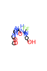 O=C(Nc1cn(C2CCC(CO)CC2)nc1C(F)F)c1cnn2ccc(N3CCC[C@H](OC4CCCCO4)C3)nc12